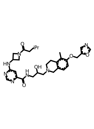 Cc1c(OCc2cnco2)ccc2c1CCN(CC(O)CNC(=O)c1cc(NC3CN(C(=O)CC(C)C)C3)ncn1)C2